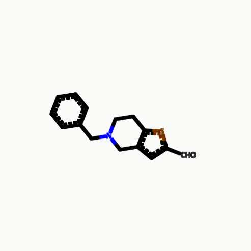 O=Cc1cc2c(s1)CCN(Cc1ccccc1)C2